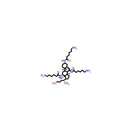 C[C@H](CCCO)C1CC[C@H]2C3C(NC(=O)CCCCCN)CC4C[C@H](NC(=O)CCCCCN)CCC4(C)[C@H]3C[C@H](NC(=O)CCCCCN)C12C